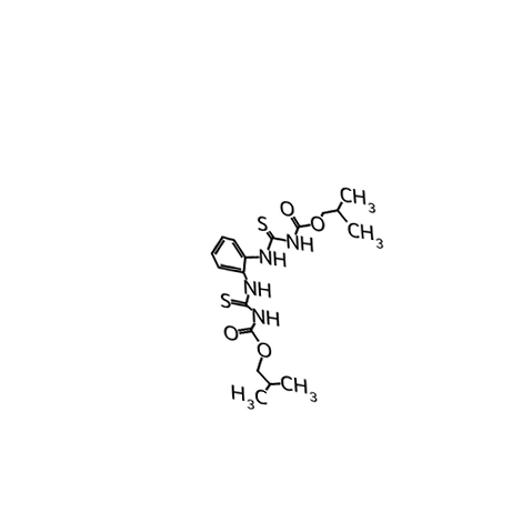 CC(C)COC(=O)NC(=S)Nc1ccccc1NC(=S)NC(=O)OCC(C)C